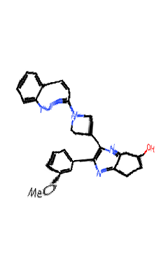 COc1cccc(-c2nc3c(nc2C2CN(c4ccc5ccccc5n4)C2)C(O)CC3)c1